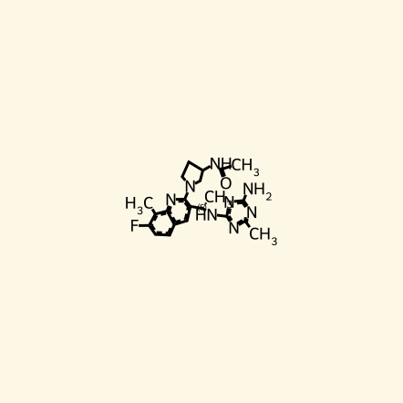 CC(=O)NC1CCN(c2nc3c(C)c(F)ccc3cc2[C@H](C)Nc2nc(C)nc(N)n2)C1